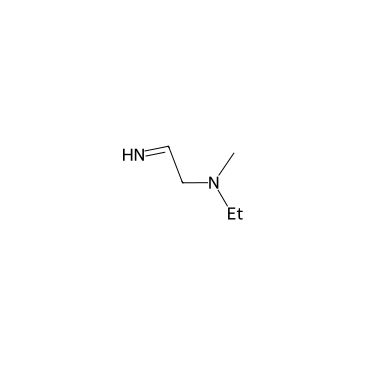 CCN(C)CC=N